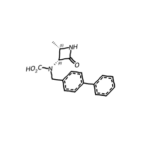 C[C@@H]1NC(=O)[C@@H]1N(Cc1ccc(-c2ccccc2)cc1)C(=O)O